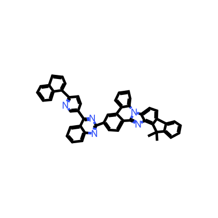 CC1(C)c2ccccc2-c2ccc3c(nc4c5ccc(-c6nc(-c7ccc(-c8cccc9ccccc89)nc7)c7ccccc7n6)cc5c5ccccc5n34)c21